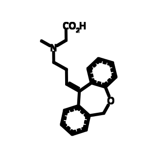 CN(CC/C=C1/c2ccccc2COc2ccccc21)CC(=O)O